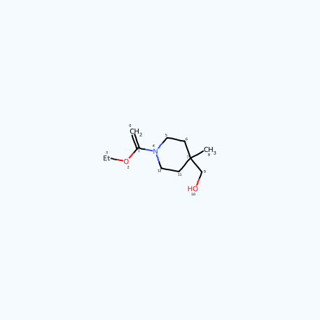 C=C(OCC)N1CCC(C)(CO)CC1